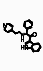 O=C(c1c[nH]c2ccccc12)[C@@H](NCCc1ccncc1)c1ccccc1